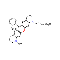 CCCN1CCCc2cc3c(cc21)OC1=CC2C(=CC1=C3c1ccccc1C(=O)O)CCCN2CCCS(=O)(=O)O